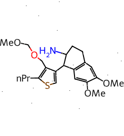 CCCc1scc(C2c3cc(OC)c(OC)cc3CCC2N)c1COCOC